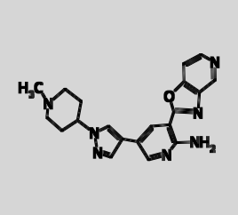 CN1CCC(n2cc(-c3cnc(N)c(-c4nc5cnccc5o4)c3)cn2)CC1